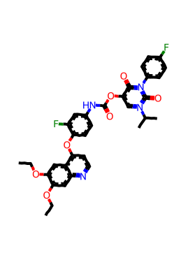 CCOc1cc2nccc(Oc3ccc(NC(=O)Oc4cn(C(C)C)c(=O)n(-c5ccc(F)cc5)c4=O)cc3F)c2cc1OCC